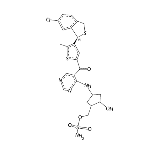 Cc1sc(C(=O)c2cncnc2NC2CC(O)C(COS(N)(=O)=O)C2)cc1[C@@H]1SCc2ccc(Cl)cc21